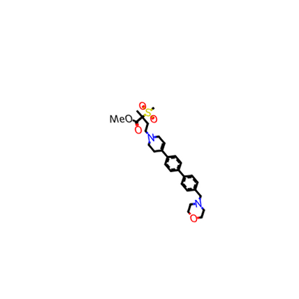 COC(=O)C(C)(CCN1CC=C(c2ccc(-c3ccc(CN4CCOCC4)cc3)cc2)CC1)S(C)(=O)=O